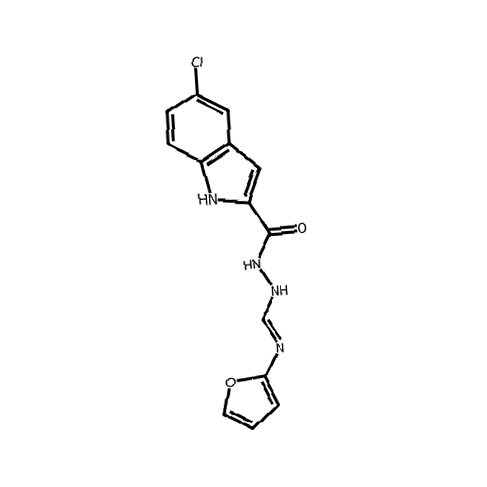 O=C(NNC=Nc1ccco1)c1cc2cc(Cl)ccc2[nH]1